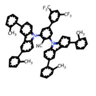 Cc1ccccc1-c1ccc2c(c1)c1cc(-c3ccccc3C)ccc1n2-c1cc(-c2cc(C(F)(F)F)cc(C(F)(F)F)c2)cc(-n2c3ccc(-c4ccccc4C)cc3c3cc(-c4ccccc4C)ccc32)c1C#N